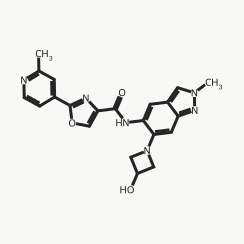 Cc1cc(-c2nc(C(=O)Nc3cc4cn(C)nc4cc3N3CC(O)C3)co2)ccn1